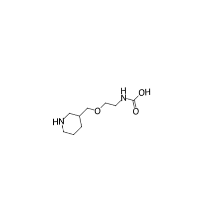 O=C(O)NCCOCC1CCCNC1